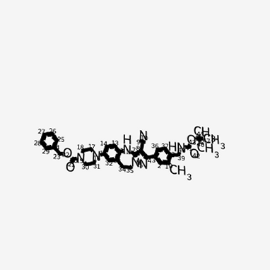 Cc1cc(-c2nn3c(c2C#N)Nc2ccc(N4CCN(C(=O)OCc5ccccc5)CC4)cc2CC3)ccc1CNC(=O)OC(C)(C)C